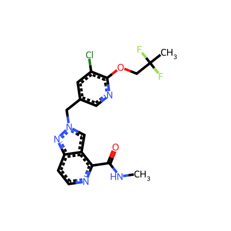 CNC(=O)c1nccc2nn(Cc3cnc(OCC(C)(F)F)c(Cl)c3)cc12